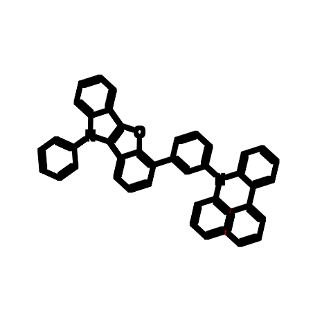 c1ccc(-c2ccccc2N(c2ccccc2)c2cccc(-c3cccc4c3oc3c5ccccc5n(-c5ccccc5)c43)c2)cc1